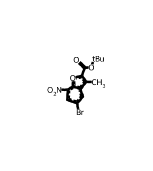 Cc1c(C(=O)OC(C)(C)C)oc2c([N+](=O)[O-])cc(Br)cc12